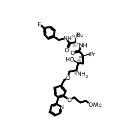 CC[C@H](C)[C@H](NC(=O)[C@H](C[C@H](O)[C@@H](N)COCc1ccc(-c2ccccn2)c(OCCCOC)c1)C(C)C)C(=O)NCc1ccc(F)cc1